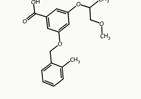 COCC(C)Oc1cc(OCc2ccccc2C)cc(C(=O)O)c1